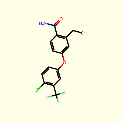 CCc1cc(Oc2ccc(Cl)c(C(F)(F)F)c2)ccc1C(N)=O